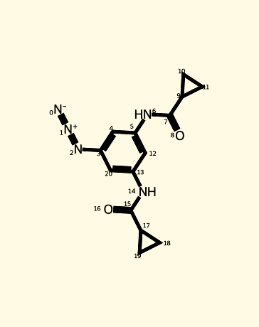 [N-]=[N+]=Nc1cc(NC(=O)C2CC2)cc(NC(=O)C2CC2)c1